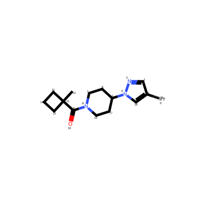 CC(C)c1cnn(C2CCN(C(=O)C3(C)CCC3)CC2)c1